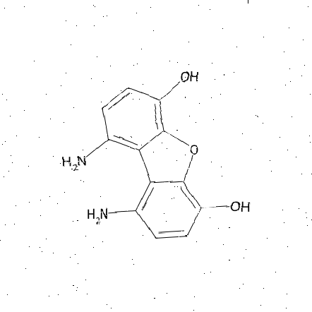 Nc1ccc(O)c2oc3c(O)ccc(N)c3c12